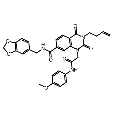 C=CCCn1c(=O)c2ccc(C(=O)NCc3ccc4c(c3)OCO4)cc2n(CC(=O)Nc2ccc(OC)cc2)c1=O